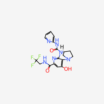 O=C(NCC(F)(F)F)c1cc(O)c2c(n1)N(C(=O)Nc1ccccn1)[C@H]1CCN2C1